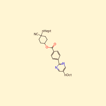 CCCCCCCCc1cnc(-c2ccc(C(=O)OC3CCC(C#N)(CCCCCCC)CC3)cc2)nc1